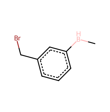 CBc1cccc(CBr)c1